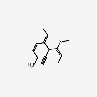 C#CC(C(/C=C\CP)=C/C)/C(=C\C)SC